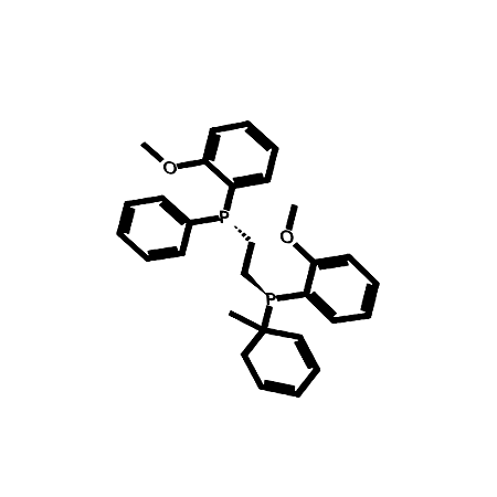 COc1ccccc1[P@](CC[P@@](c1ccccc1OC)C1(C)C=CC=CC1)c1ccccc1